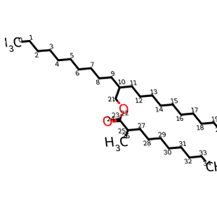 CCCCCCCCCCC(CCCCCCCCCC)COC(=O)C(C)CCCCCCCC